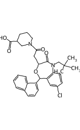 CC(C)(C)CN1C(=O)C(CC(=O)N2CCCC(C(=O)O)C2)OC(c2cccc3ccccc23)c2cc(Cl)ccc21